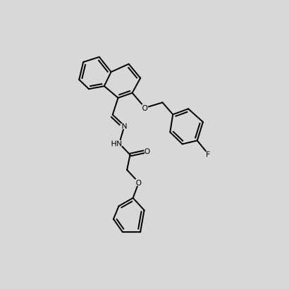 O=C(COc1ccccc1)NN=Cc1c(OCc2ccc(F)cc2)ccc2ccccc12